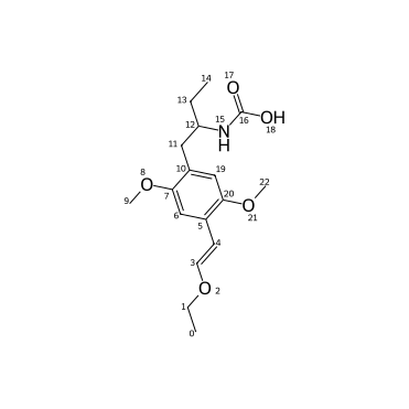 CCO/C=C/c1cc(OC)c(CC(CC)NC(=O)O)cc1OC